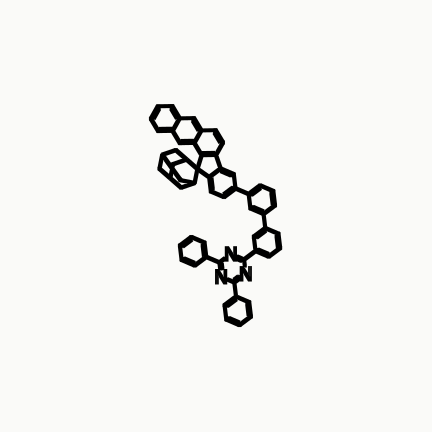 c1ccc(-c2nc(-c3ccccc3)nc(-c3cccc(-c4cccc(-c5ccc6c(c5)-c5ccc7cc8ccccc8cc7c5C65C6CC7CC(C6)CC5C7)c4)c3)n2)cc1